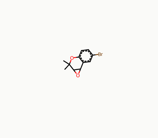 CC1(C)Oc2ccc(Br)cc2C2OC21